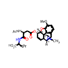 COc1ccc2c3c1O[C@H]1[C@@H](OC(=O)CC(NC(C)=O)C(=O)NC(C(=O)O)C(C)C)C=CC4[C@@H](C2)N(C)CC[C@@]341